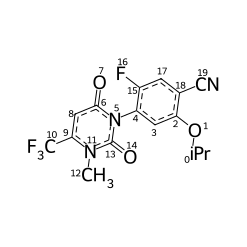 CC(C)Oc1cc(-n2c(=O)cc(C(F)(F)F)n(C)c2=O)c(F)cc1C#N